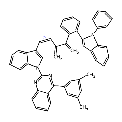 C=C(/C=C\c1cn(-c2nc(-c3cc(C)cc(C)c3)c3ccccc3n2)c2ccccc12)C(=C)c1ccccc1-c1cc2ccccc2n1-c1ccccc1